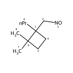 CCCC1(CN=O)CCC1(C)C